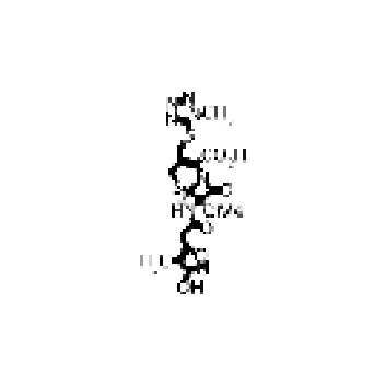 CO[C@@]1(NC(=O)Cc2onc(O)c2C)C(=O)N2C(C(=O)O)=C(CSc3nnnn3C)CS[C@H]21